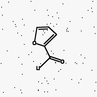 [Li][C](=O)c1ccco1